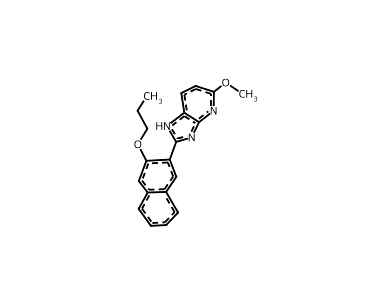 CCCOc1cc2ccccc2cc1-c1nc2nc(OC)ccc2[nH]1